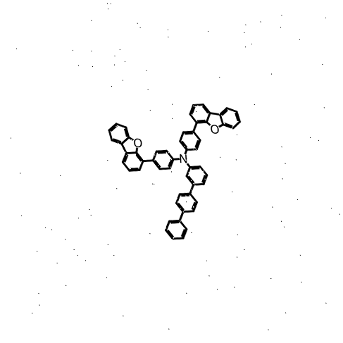 c1ccc(-c2ccc(-c3cccc(N(c4ccc(-c5cccc6c5oc5ccccc56)cc4)c4ccc(-c5cccc6c5oc5ccccc56)cc4)c3)cc2)cc1